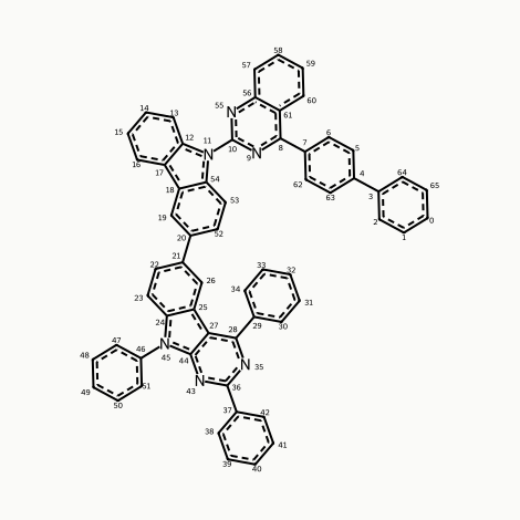 c1ccc(-c2ccc(-c3nc(-n4c5ccccc5c5cc(-c6ccc7c(c6)c6c(-c8ccccc8)nc(-c8ccccc8)nc6n7-c6ccccc6)ccc54)nc4ccccc34)cc2)cc1